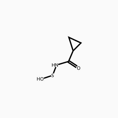 O=C(NSO)C1CC1